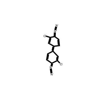 [N-]=[N+]=C1C=CC(=C2C=CC(=[N+]=[N-])C(Cl)=C2)C=C1Cl